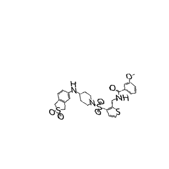 COc1cccc(C(=O)NCc2sccc2S(=O)(=O)N2CCC(Nc3ccc4c(c3)CS(=O)(=O)C4)CC2)c1